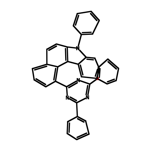 c1ccc(-c2nc(-c3ccccc3)nc(-c3cccc4ccc5c(c6ccccc6n5-c5ccccc5)c34)n2)cc1